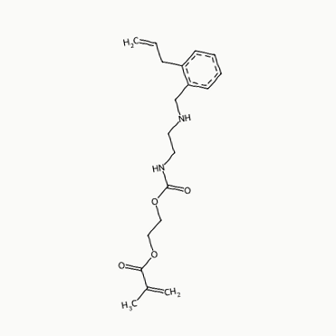 C=CCc1ccccc1CNCCNC(=O)OCCOC(=O)C(=C)C